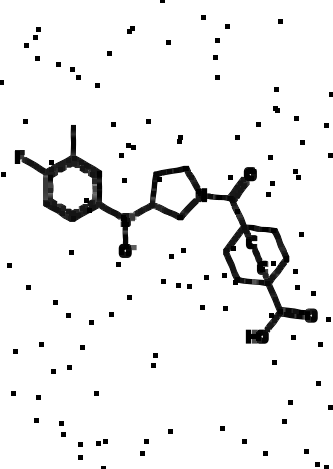 Cc1cc([S+]([O-])C2CCN(C(=O)C34CCC(C(=O)O)(CC3)CC4)C2)ccc1F